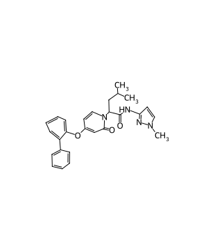 CC(C)CC(C(=O)Nc1ccn(C)n1)n1ccc(Oc2ccccc2-c2ccccc2)cc1=O